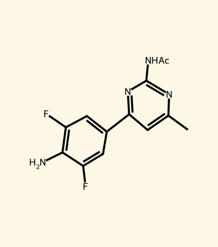 CC(=O)Nc1nc(C)cc(-c2cc(F)c(N)c(F)c2)n1